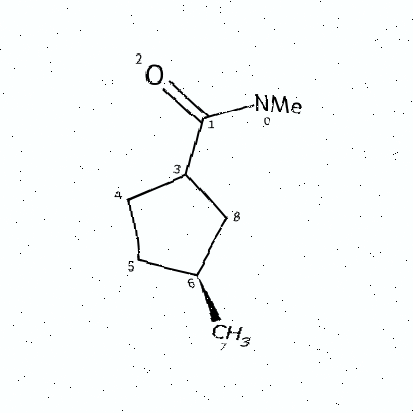 CNC(=O)C1CC[C@H](C)C1